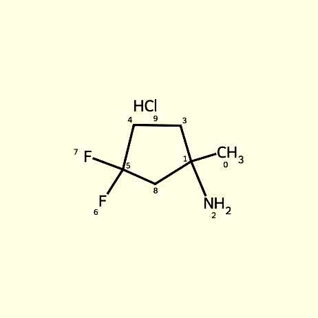 CC1(N)CCC(F)(F)C1.Cl